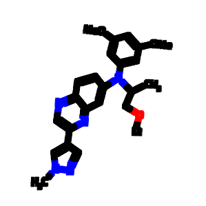 CCOCC(C)N(c1cc(OC)cc(OC)c1)c1ccc2ncc(-c3cnn(C)c3)nc2c1